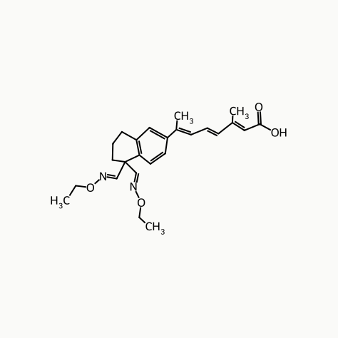 CCON=CC1(C=NOCC)CCCc2cc(/C(C)=C/C=C/C(C)=C/C(=O)O)ccc21